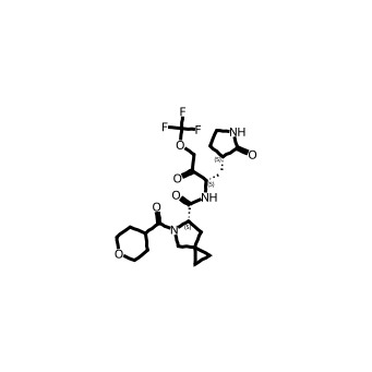 O=C1NCC[C@H]1C[C@H](NC(=O)[C@@H]1CC2(CC2)CN1C(=O)C1CCOCC1)C(=O)COC(F)(F)F